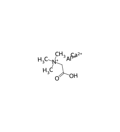 C[N+](C)(C)CC(=O)O.[Al+3].[Ca+2]